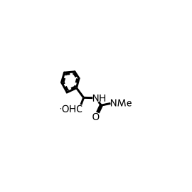 CNC(=O)NC([C]=O)c1ccccc1